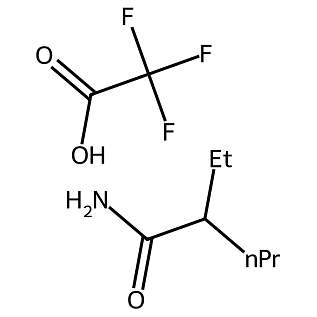 CCCC(CC)C(N)=O.O=C(O)C(F)(F)F